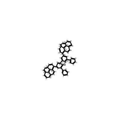 c1ccc(-c2cc(-c3ccc4ccc5cccc6ccc3c4c56)cc3c2sc2c(-c4ccccc4)cc(-c4ccc5ccc6cccc7ccc4c5c67)cc23)cc1